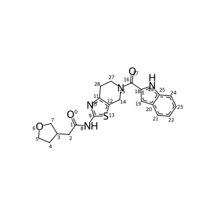 O=C(CC1CCOC1)Nc1nc2c(s1)CN(C(=O)c1cc3ccccc3[nH]1)CC2